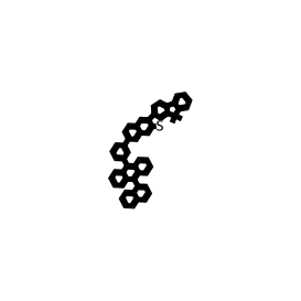 CC1(C)c2ccccc2-c2ccc3c(sc4cc5cc(-c6cccc(-c7c8ccccc8c(-c8cccc9ccccc89)c8ccccc78)c6)ccc5cc43)c21